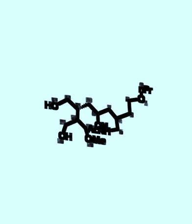 CCCOCCC(CNC(C)=O)CC(O)C[C@@H](CO)C(CO)COC